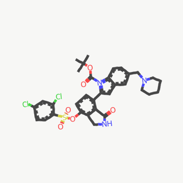 CC(C)(C)OC(=O)n1c(-c2ccc(OS(=O)(=O)c3ccc(Cl)cc3Cl)c3c2C(=O)NC3)cc2cc(CN3CCCCC3)ccc21